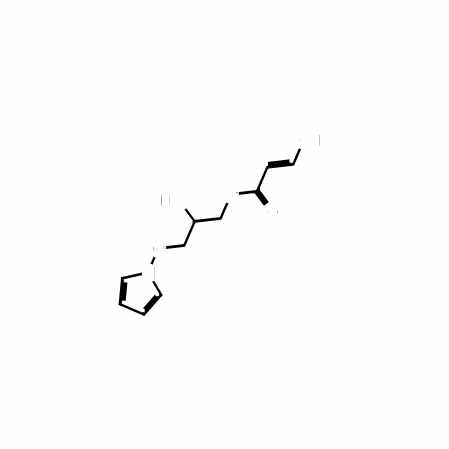 CC=CC(=O)OCC(O)CO[SH]1C=CC=C1